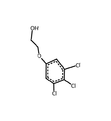 OCCOc1cc(Cl)c(Cl)c(Cl)c1